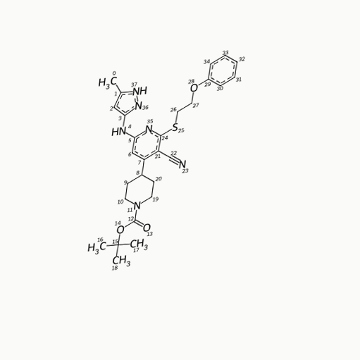 Cc1cc(Nc2cc(C3CCN(C(=O)OC(C)(C)C)CC3)c(C#N)c(SCCOc3ccccc3)n2)n[nH]1